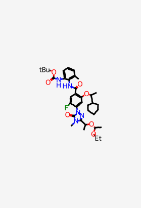 CCOC(C)OC(C)c1nn(-c2cc(OC(C)C3CCCCC3)c(C(=O)Nc3c(C)cccc3NC(=O)OC(C)(C)C)cc2F)c(=O)n1C